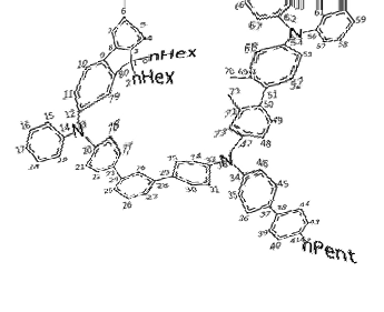 CCCCCCC1(CCCCCC)c2ccccc2-c2ccc(N(c3ccccc3)c3ccc(-c4cccc(-c5ccc(N(c6ccc(-c7ccc(CCCCC)cc7)cc6)c6ccc(-c7ccc(N(c8ccccc8)c8ccccc8)cc7C)c(C)c6)cc5)c4)cc3)cc21